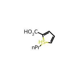 [CH2]CC[SH]1C=CC=C1C(=O)O